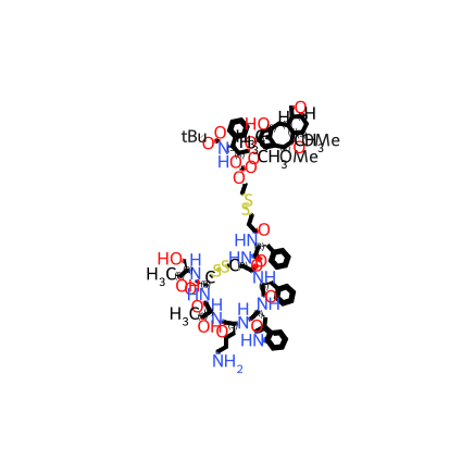 CO[C@H]1C(=O)[C@]2(C)[C@@H](OC)C[C@H]3OCC3[C@H]2C[C@]2(O)C[C@H](OC(=O)[C@H](OC(=O)OCCSSCCC(=O)N[C@H](Cc3ccccc3)C(=O)N[C@H]3CSSC[C@@H](C(=O)N[C@H](CO)[C@@H](C)O)NC(=O)[C@H]([C@@H](C)O)NC(=O)[C@H](CCCCN)NC(=O)[C@@H](Cc4c[nH]c5ccccc45)NC(=O)[C@H](Cc4ccccc4)NC3=O)[C@@H](NC(=O)OC(C)(C)C)c3ccccc3)C(C)=C1C2(C)C